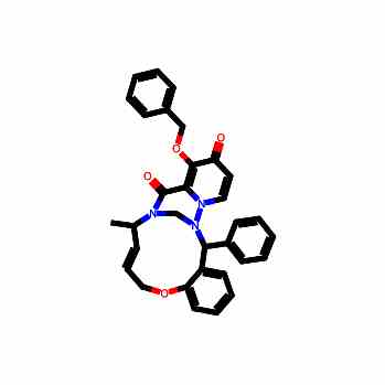 CC1/C=C/COc2ccccc2C(c2ccccc2)N2CN1C(=O)c1c(OCc3ccccc3)c(=O)ccn12